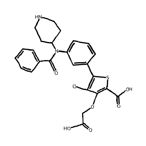 O=C(O)COc1c(C(=O)O)sc(-c2cccc(N(C(=O)c3ccccc3)C3CCNCC3)c2)c1Cl